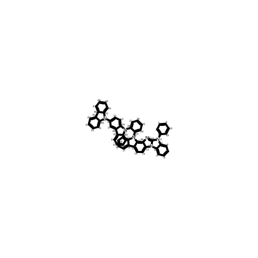 c1ccc(-n2c3ccccc3n3c4ccc5c6ccccc6n(-c6ccccc6-n6c7ccccc7c7cc(-n8c9ccccc9c9ccccc98)ccc76)c5c4nc23)cc1